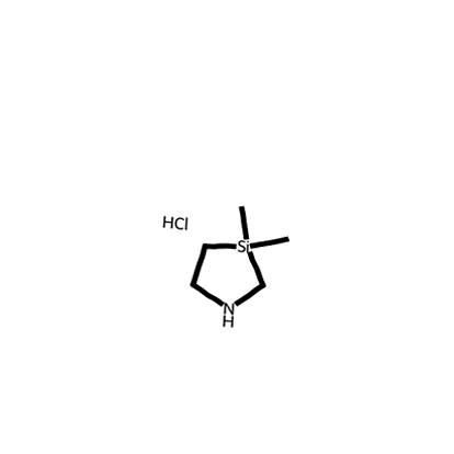 C[Si]1(C)CCNC1.Cl